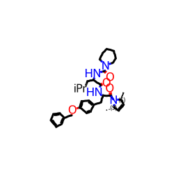 CC(C)CC(NC(=O)N1CCCCCC1)C(=O)NC(Cc1ccc(OCc2ccccc2)cc1)C(=O)N1[C@@H](C)C=C[C@@H]1C